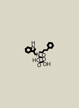 O=C(O)C(=O)O.c1ccc(CCC2CN(Cc3c[nH]c4ccccc34)CCO2)cc1